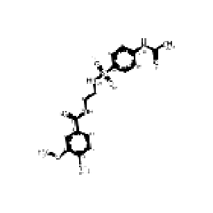 COc1cc(C(=O)NCCNS(=O)(=O)c2ccc(NC(C)=O)cc2)ccc1N